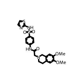 COc1cc2c(cc1OC)CN(CC(=O)Nc1ccc(S(=O)(=O)Nc3nccs3)cc1)CC2